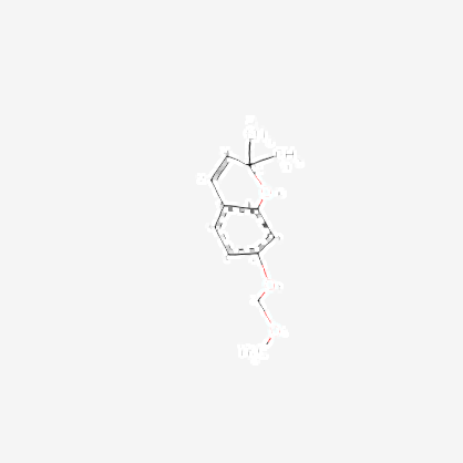 COCOc1ccc2c(c1)OC(C)(C)C=C2